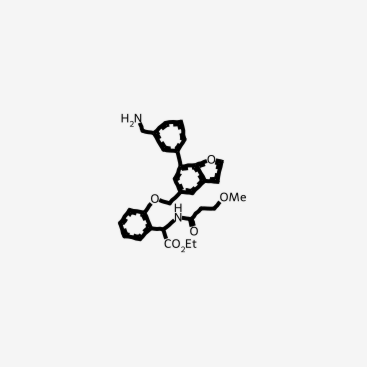 CCOC(=O)C(NC(=O)CCOC)c1ccccc1OCc1cc(-c2cccc(CN)c2)c2occc2c1